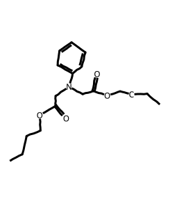 CCCCOC(=O)CN(CC(=O)OCCCC)c1ccccc1